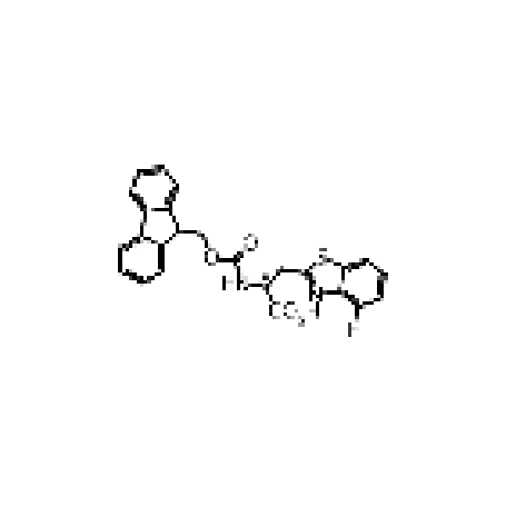 O=C(N[C@@H](Cc1nc2c(F)cccc2s1)C(=O)O)OCC1c2ccccc2-c2ccccc21